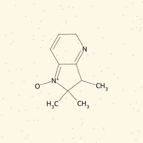 CC1C2=NCC=CC2=[N+]([O-])C1(C)C